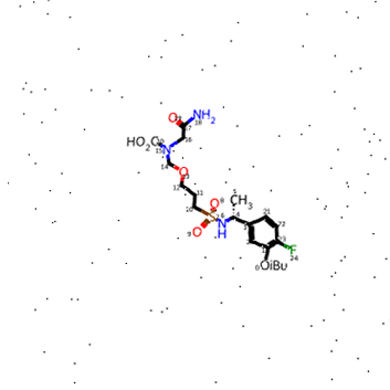 CC(C)COc1cc([C@@H](C)NS(=O)(=O)CCCOCN(CC(N)=O)C(=O)O)ccc1F